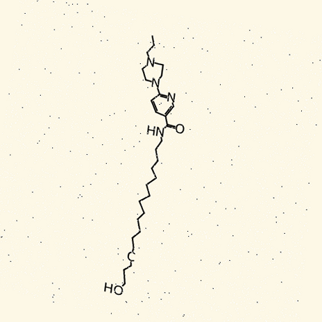 CCCN1CCN(c2ccc(C(=O)NCCCCCCCCCCCCCCCCCO)cn2)CC1